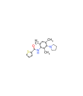 Cc1cc(C)c(N2CCCC2)c(C)c1NC(=O)c1cccs1